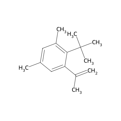 C=C(C)c1cc(C)cc(C)c1C(C)(C)C